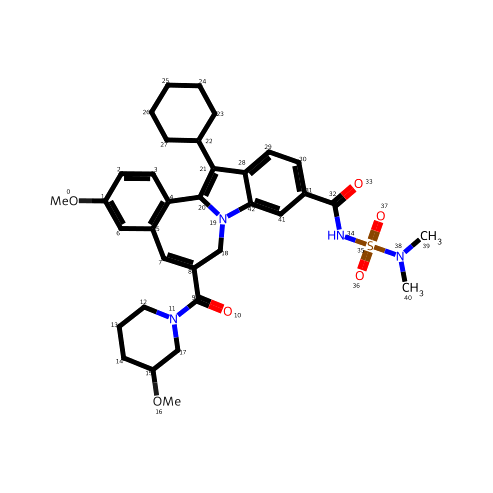 COc1ccc2c(c1)C=C(C(=O)N1CCCC(OC)C1)Cn1c-2c(C2CCCCC2)c2ccc(C(=O)NS(=O)(=O)N(C)C)cc21